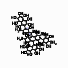 BC(=C)/C(=C(O)\C(O)=C(/B)c1c2c(O)c(B)cc(N=O)c2c(-c2c(O)c(O)c(O)c3c(O)c(O)c(O)c(O)c23)c2c(B)c(-c3c(B)c(O)c(B)c(O)c3B)c(B)c(O)c12)c1c(O)c(O)c2c(O)c(O)c(O)c(O)c2c1O